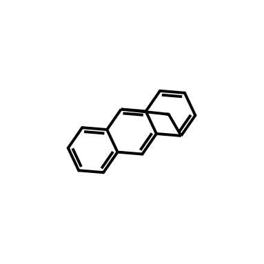 c1ccc2c3c4cccc(c4cc2c1)C3